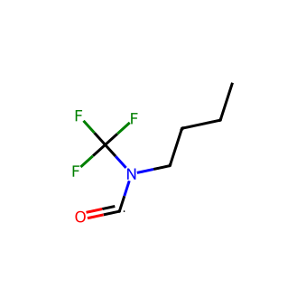 CCCCN([C]=O)C(F)(F)F